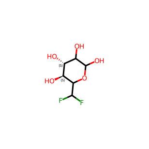 OC1OC(C(F)F)[C@@H](O)[C@H](O)C1O